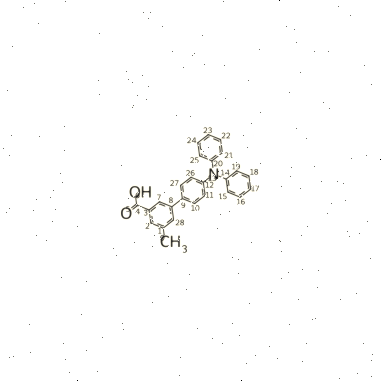 Cc1cc(C(=O)O)cc(-c2ccc(N(c3ccccc3)c3ccccc3)cc2)c1